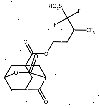 O=C1OC2CC3CC(C(=O)OCCC(C(F)(F)F)C(F)(F)S(=O)(=O)O)(C2)CC1C3=O